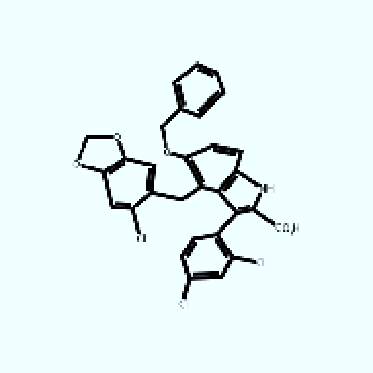 O=C(O)c1[nH]c2ccc(OCc3ccccc3)c(Cc3cc4c(cc3Cl)OCO4)c2c1-c1ccc(Cl)cc1Cl